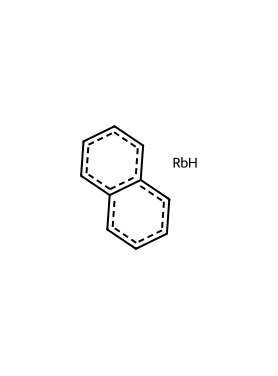 [RbH].c1ccc2ccccc2c1